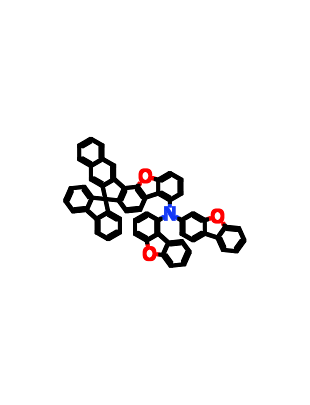 c1ccc2c(c1)-c1ccccc1C21c2cc3ccccc3cc2-c2c1ccc1c2oc2cccc(N(c3ccc4c(c3)oc3ccccc34)c3cccc4oc5ccccc5c34)c21